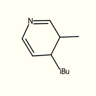 CCC(C)C1C=CN=CC1C